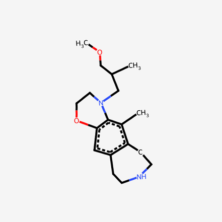 COCC(C)CN1CCOc2cc3c(c(C)c21)CCNCC3